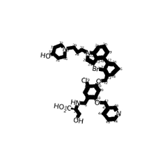 O=C(O)[C@H](CO)NCc1cc(Cl)c(OCc2cccc(-c3cccc4c3ccn4CCCN3CCC(O)CC3)c2Br)cc1OCc1cccnc1